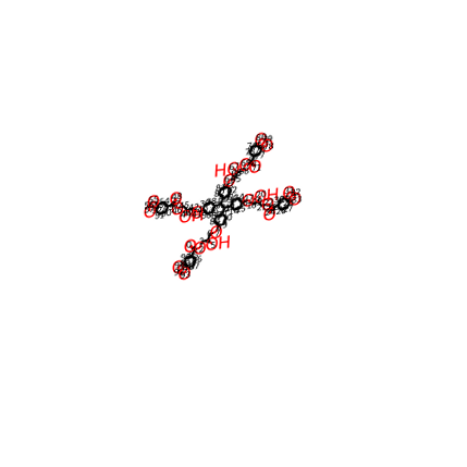 O=C(OCC(O)COc1ccc(C(c2ccc(OCC(O)COC(=O)c3ccc4c(c3)OCO4)cc2)C(c2ccc(OCC(O)COC(=O)c3ccc4c(c3)OCO4)cc2)c2ccc(OCC(O)COC(=O)c3ccc4c(c3)OCO4)cc2)cc1)c1ccc2c(c1)OCO2